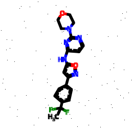 CC(F)(F)c1ccc(-c2cc(Nc3ccnc(N4CCOCC4)n3)on2)cc1